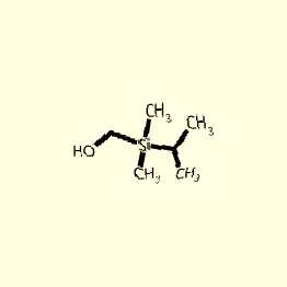 CC(C)[Si](C)(C)CO